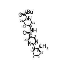 Cc1ccccc1-c1ncc(C(=O)NC2CCN(C(=O)C(C)(C)C)CC2)cn1